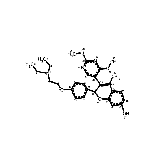 CCN(CC)CCOc1ccc(C2Oc3cc(O)ccc3C(C)=C2c2cnc(OC)nc2OC)cc1